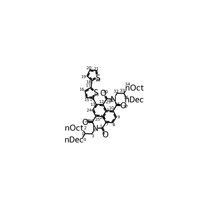 CCCCCCCCCCC(CCCCCCCC)CN1C(=O)c2ccc3c4c(c(-c5ccc(-c6cccs6)s5)cc(c24)C1=O)C(=O)N(CC(CCCCCCCC)CCCCCCCCCC)C3=O